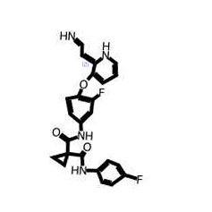 N=C/C=C1\NC=CC=C1Oc1ccc(NC(=O)C2(C(=O)Nc3ccc(F)cc3)CC2)cc1F